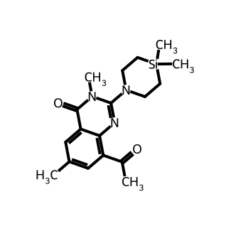 CC(=O)c1cc(C)cc2c(=O)n(C)c(N3CC[Si](C)(C)CC3)nc12